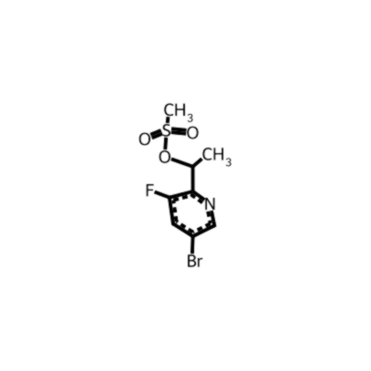 CC(OS(C)(=O)=O)c1ncc(Br)cc1F